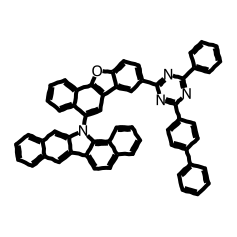 c1ccc(-c2ccc(-c3nc(-c4ccccc4)nc(-c4ccc5oc6c7ccccc7c(-n7c8cc9ccccc9cc8c8ccc9ccccc9c87)cc6c5c4)n3)cc2)cc1